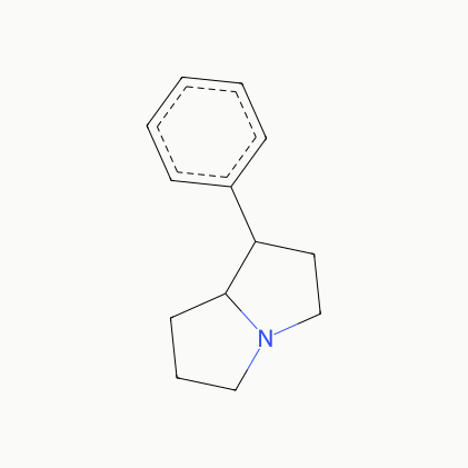 c1ccc(C2CCN3CCCC23)cc1